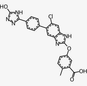 Cc1ccc(Oc2nc3cc(-c4ccc(-c5nnc(O)[nH]5)cc4)c(Cl)cc3[nH]2)cc1C(=O)O